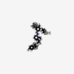 C=C1[C@H](CC(C)(C)[Si](C)(C)O)C/C(=C\C=C2/CCC[C@@]3(C)C2CC[C@@H]3[C@@H](C)COS(=O)(=O)c2ccc(C)cc2)C[C@H]1O[Si](C)(C)C(C)(C)C